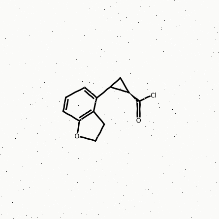 O=C(Cl)[C@@H]1CC1c1cccc2c1CCO2